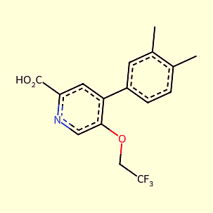 Cc1ccc(-c2cc(C(=O)O)ncc2OCC(F)(F)F)cc1C